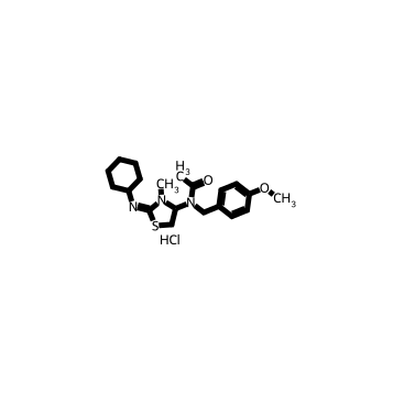 COc1ccc(CN(C(C)=O)C2CSC(=NC3CCCCC3)N2C)cc1.Cl